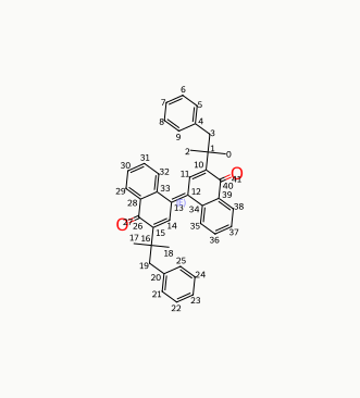 CC(C)(Cc1ccccc1)C1=C/C(=C2/C=C(C(C)(C)Cc3ccccc3)C(=O)c3ccccc32)c2ccccc2C1=O